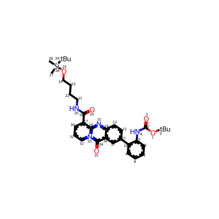 CC(C)(C)OC(=O)Nc1ccccc1-c1ccc2nc3c(C(=O)NCC[CH]CO[Si](C)(C)C(C)(C)C)cccn3c(=O)c2c1